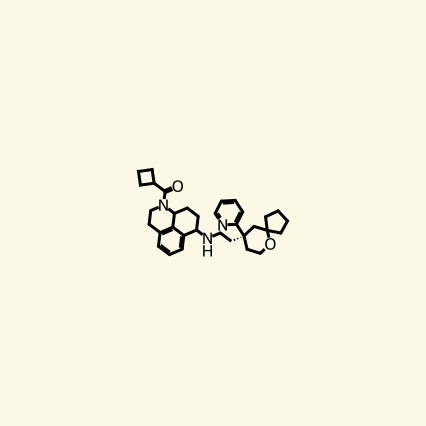 O=C(C1CCC1)N1CCc2cccc3c2C1CCC3NCC[C@@]1(c2ccccn2)CCOC2(CCCC2)C1